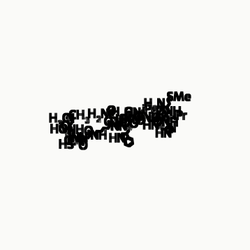 CSCCC(NC(=O)[C@H](CC(C)C)NC(=O)[C@H](Cc1cnc[nH]1)NC(=O)CNC(=O)[C@@H](NC(=O)[C@H](C)NC(=O)[C@H](Cc1c[nH]c2ccccc12)NC(=O)[C@H](CCC(N)=O)NC(=O)CCCCNC(=O)CNC(=O)[C@H](CS)NC(=O)[C@H](CO)NC(=O)CN(C)C)C(C)C)C(N)=O